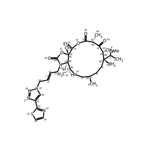 B[C@@]1(C(C)OC)CC[C@@H](C)CN[C@H](C)[C@H]2N(C/C=C/Cn3cc(-c4nccs4)nn3)C(=O)O[C@]2(C)[C@@H](CC)OC(=O)[C@H](C)C(=O)[C@@H]1C